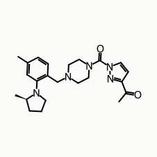 CC(=O)c1ccn(C(=O)N2CCN(Cc3ccc(C)cc3N3CCC[C@H]3C)CC2)n1